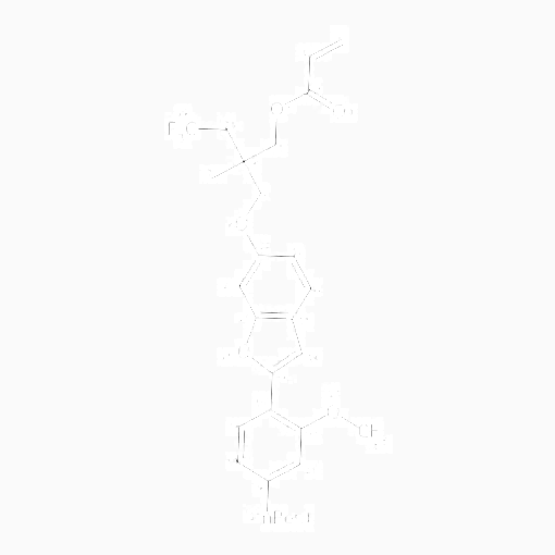 C=CC(=O)OCC(C)(COc1ccc2cc(-c3ccc(CCCCC)cc3OC(F)(F)F)oc2c1)CC(F)(F)F